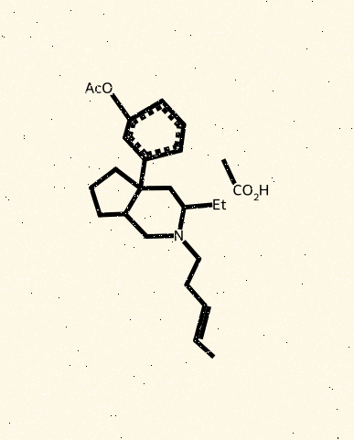 CC(=O)O.CC=CCCN1CC2CCCC2(c2cccc(OC(C)=O)c2)CC1CC